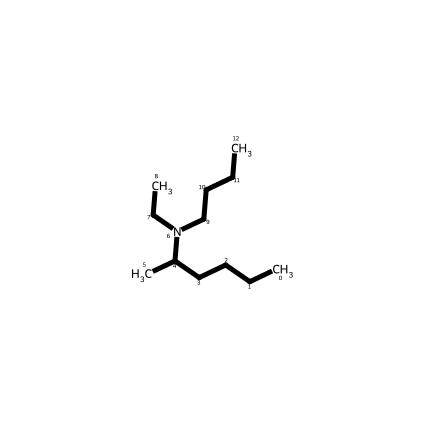 CCCCC(C)N(CC)CCCC